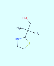 CC(C)(CO)C1NCCS1